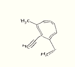 C#Cc1c(C)cccc1[C]=C